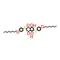 CCCCCCCCOc1ccc(SC2=CC(=O)c3c(O)c(Sc4ccc(OCCCCCCCC)cc4)cc(O)c3C2=O)cc1